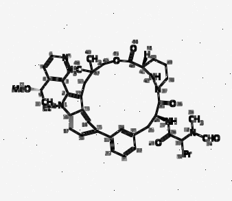 CCn1c(-c2cnccc2[C@H](C)OC)c2c3cc(ccc31)-c1cccc(c1)C[C@H](NC(=O)C(C(C)C)N(C)C=O)C(=O)N1CCC[C@H](N1)C(=O)OCC(C)(C)C2